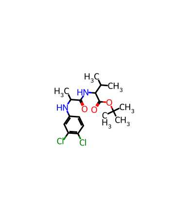 CC(Nc1ccc(Cl)c(Cl)c1)C(=O)NC(C(=O)OC(C)(C)C)C(C)C